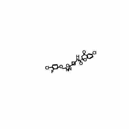 O=C1C[C@@H](C(=O)NC23CC(c4nnc(COc5ccc(Cl)c(F)c5)o4)(C2)C3)Oc2ccc(Cl)cc21